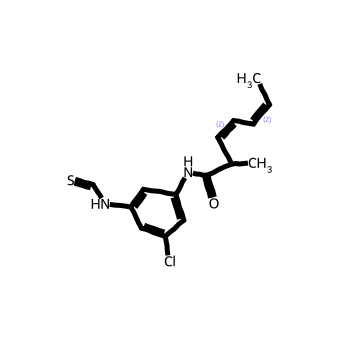 C/C=C\C=C/C(C)C(=O)Nc1cc(Cl)cc(NC=S)c1